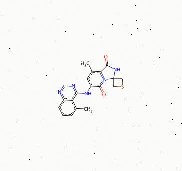 Cc1cc(Nc2ncnc3cccc(C)c23)c(=O)n2c1C(=O)NC21CSC1